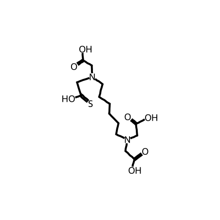 O=C(O)CN(CCCCCCN(CC(=O)O)CC(O)=S)CC(=O)O